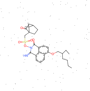 CCCCC(CC)COc1ccc2c3c(cccc13)C(=N)N(OS(=O)(=O)CC13CCC(CC1=O)C3(C)C)C2=O